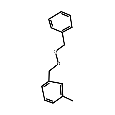 Cc1cccc(COOCc2ccccc2)c1